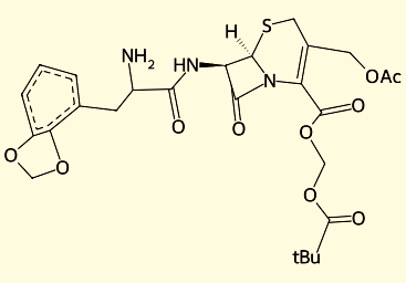 CC(=O)OCC1=C(C(=O)OCOC(=O)C(C)(C)C)N2C(=O)[C@@H](NC(=O)C(N)Cc3cccc4c3OCO4)[C@H]2SC1